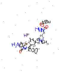 CC(C)(C)OC(=O)NCCC[N+](C)(C)C/C=C/C1=C(C(=O)[O-])N2C(=O)[C@@H](N)[C@H]2SC1.I